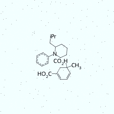 CC(C)CC1CCCCN1c1ccccc1.CC1(C(=O)O)C=CC=C(C(=O)O)C1